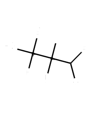 [O]C(F)C(F)(F)C(F)(F)C(F)(F)F